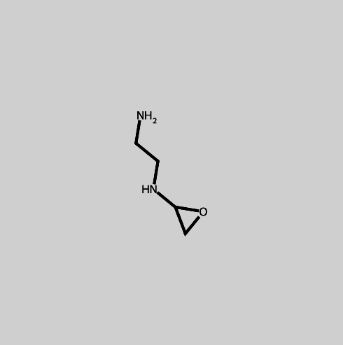 NCCNC1CO1